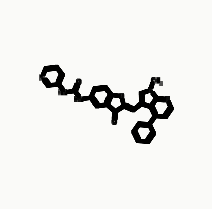 Cn1cc(/C=C2\Oc3ccc(NC(=O)Nc4cccnc4)cc3C2=O)c2c(-c3ccccc3)ccnc21